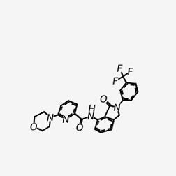 O=C(Nc1cccc2c1C(=O)N(c1cccc(C(F)(F)F)c1)C2)c1cccc(N2CCOCC2)n1